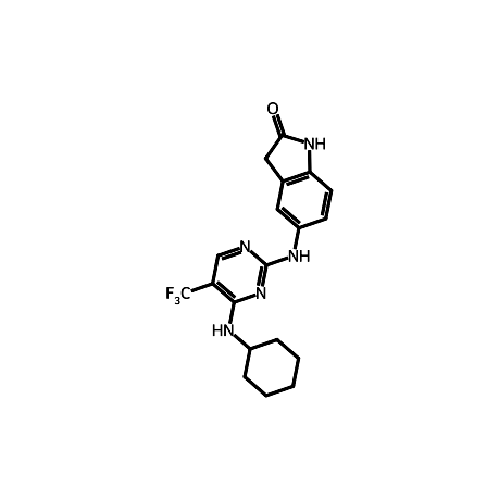 O=C1Cc2cc(Nc3ncc(C(F)(F)F)c(NC4CCCCC4)n3)ccc2N1